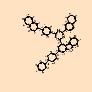 C1=Cc2ccc(-c3nc(-c4ccc(-c5ccc6ccccc6c5)cc4)nc(-c4cc(C5=CCC(c6ccccc6)C=C5)cc5oc6ccccc6c45)n3)cc2CC1